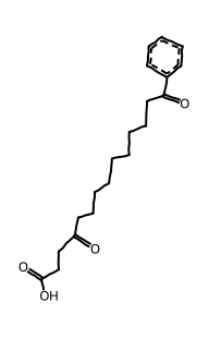 O=C(O)CCC(=O)CCCCCCCCCC(=O)c1ccccc1